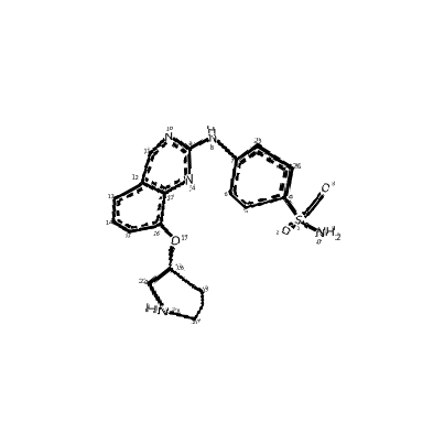 NS(=O)(=O)c1ccc(Nc2ncc3cccc(O[C@H]4CCNC4)c3n2)cc1